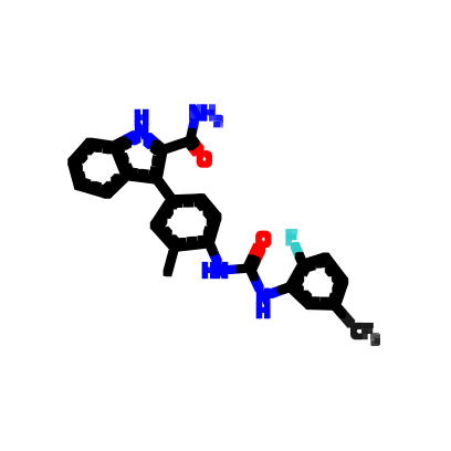 Cc1cc(-c2c(C(N)=O)[nH]c3ccccc23)ccc1NC(=O)Nc1cc(C(F)(F)F)ccc1F